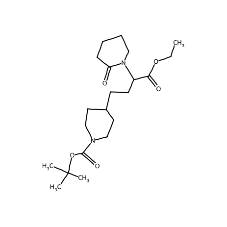 CCOC(=O)C(CCC1CCN(C(=O)OC(C)(C)C)CC1)N1CCCCC1=O